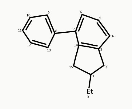 CCC1[CH]c2cccc(-c3ccccc3)c2C1